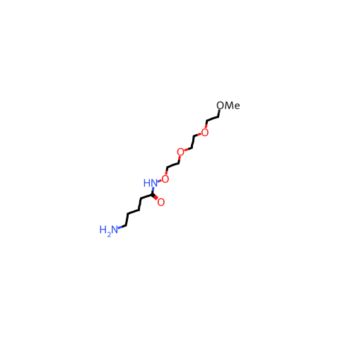 COCCOCCOCCONC(=O)CCCCN